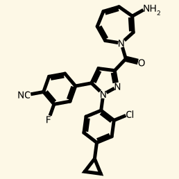 N#Cc1ccc(-c2cc(C(=O)N3C=CC=CC(N)=C3)nn2-c2ccc(C3CC3)cc2Cl)cc1F